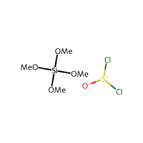 CO[Si](OC)(OC)OC.[O-][S+](Cl)Cl